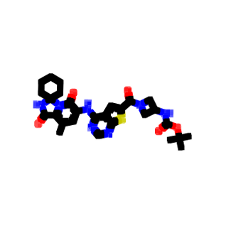 Cc1cc(Nc2ncnc3sc(C(=O)N4CC(NC(=O)OC(C)(C)C)C4)cc23)c(=O)n2c1C(=O)NC21CCCCC1